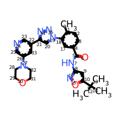 Cc1ccc(C(=O)Nc2cc(C(C)(C)C)on2)cc1-n1cc(-c2cncc(N3CCOCC3)c2)nn1